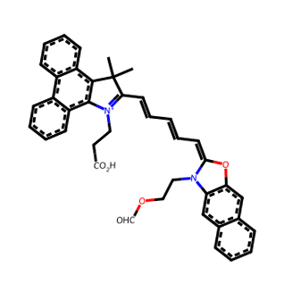 CC1(C)C(/C=C/C=C/C=C2/Oc3cc4ccccc4cc3N2CCOC=O)=[N+](CCC(=O)O)c2c1c1ccccc1c1ccccc21